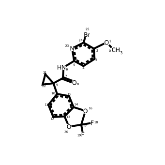 COc1ccc(NC(=O)C2(c3ccc4c(c3)OC(F)(F)O4)CC2)nc1Br